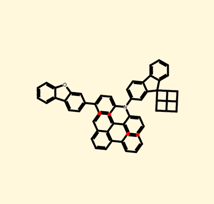 c1ccc(-c2cccc3cccc(-c4ccccc4N(c4ccc(-c5ccc6c(c5)oc5ccccc56)cc4)c4ccc5c(c4)C4(c6ccccc6-5)C5CC6CC7CC4C675)c23)cc1